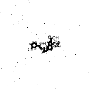 CC(Cc1ccc2c(c1)cc(C(=O)O)n2CS(C)(=O)=O)NCC(O)c1cccc(Cl)c1